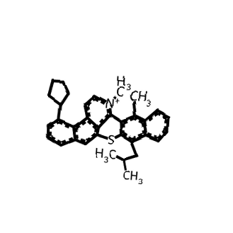 Cc1c2c(c(CC(C)C)c3ccccc13)Sc1cc3cccc(C4CCCC4)c3c3cc[n+](C)c-2c13